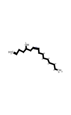 C=CCCC(O)C/C=C\CCCCCCCC